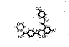 N=C(c1ccc(C(=O)Nc2c(O)cc(Cl)cc2C(=O)Nc2ccc(Cl)cn2)cc1)N1CCOCC1